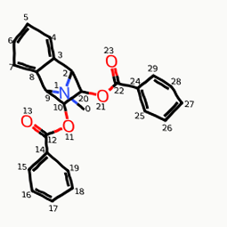 CN1C2c3ccccc3C1C(OC(=O)c1ccccc1)C2OC(=O)c1ccccc1